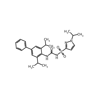 CC(C)c1cc(-c2ccccc2)cc(C(C)C)c1NC(=O)NS(=O)(=O)c1ccn(C(C)C)n1